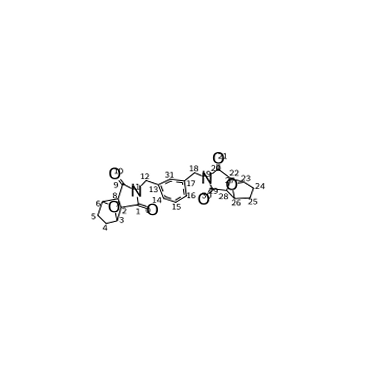 O=C1C2C3CCC(O3)C2C(=O)N1Cc1cccc(CN2C(=O)C3C4CCC(O4)C3C2=O)c1